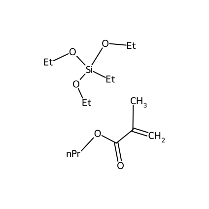 CCO[Si](CC)(OCC)OCC.[CH2]CCOC(=O)C(=C)C